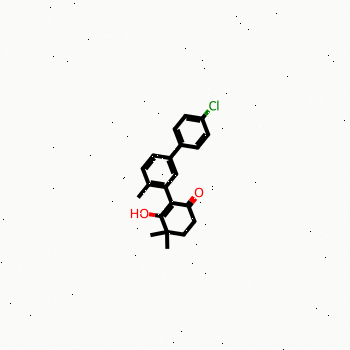 Cc1ccc(-c2ccc(Cl)cc2)cc1C1=C(O)C(C)(C)CCC1=O